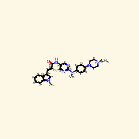 CC(=O)N(c1ccc(N2CCN(C)CC2)cc1)c1ncc2c(n1)S/C(=C\c1cn(C(C)=O)c3ccccc13)C(=O)N2